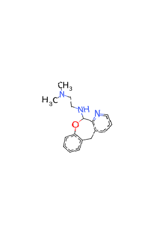 CN(C)CCNC1Oc2ccccc2Cc2cccnc21